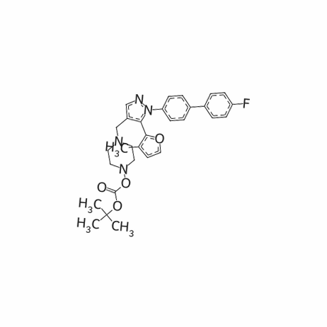 Cc1ccoc1-c1c(CN2CCN(OC(=O)OC(C)(C)C)CC2)cnn1-c1ccc(-c2ccc(F)cc2)cc1